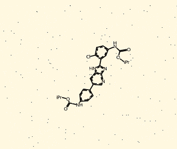 CC(C)OC(=O)Nc1ccc(-c2cnc3nc(-c4cc(NC(=O)OC(C)C)ccc4Cl)[nH]c3c2)cc1